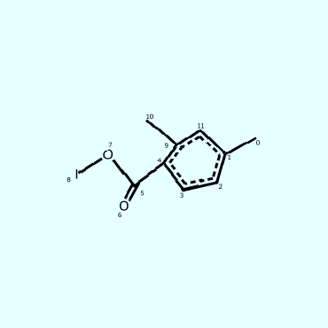 Cc1ccc(C(=O)OI)c(C)c1